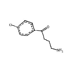 NCCCC(=O)c1ccc(Cl)cc1